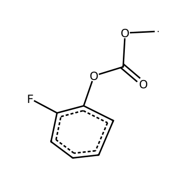 [CH2]OC(=O)Oc1ccccc1F